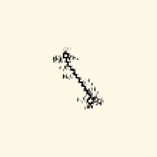 CC1=C(/C=C/C(C)=C/C=C/C(C)=C/C=C/C=C(C)/C=C/C=C(C)/C=C/C2=C(C)CC(O)C(O)C2(C)C)C(C)(C)CC(O)C1